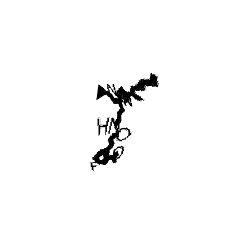 CCCCCC(C)c1cc2nc(C3CC3)cc(CCCNC(=O)CCc3ccc(F)cc3C(C)=O)n2n1